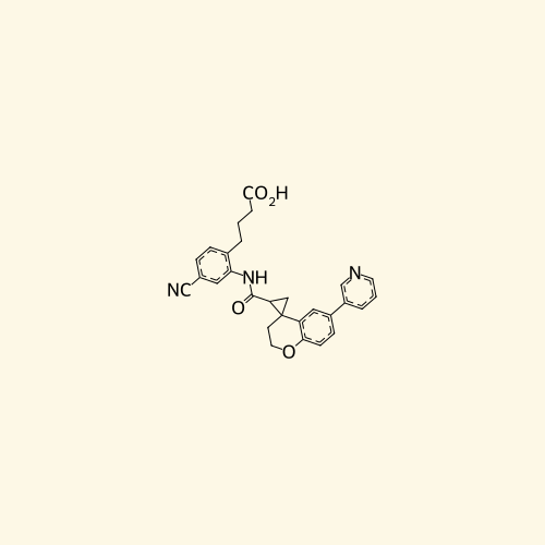 N#Cc1ccc(CCCC(=O)O)c(NC(=O)C2CC23CCOc2ccc(-c4cccnc4)cc23)c1